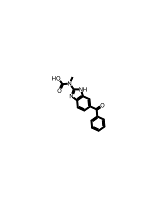 CN(C(=O)O)c1nc2ccc(C(=O)c3ccccc3)cc2[nH]1